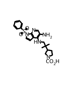 CC(C)(CNc1c(N)cnc2c1ccn2S(=O)(=O)c1ccccc1)C1CCN(C(=O)O)C1